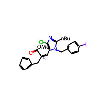 CCCCc1nc(Cl)c(/C=C(/Cc2ccccc2)C(=O)OC)n1Cc1ccc(I)cc1